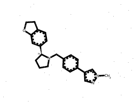 Cn1cc(-c2ccc(CN3CCC[C@H]3c3ccc4c(c3)OCC4)cc2)cn1